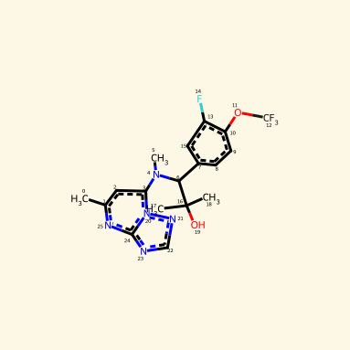 Cc1cc(N(C)C(c2ccc(OC(F)(F)F)c(F)c2)C(C)(C)O)n2ncnc2n1